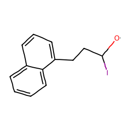 [O]C(I)CCc1cccc2ccccc12